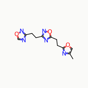 Cc1coc(CCc2nc(CCc3ncon3)no2)n1